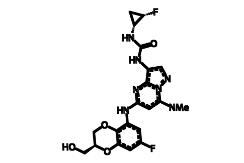 CNc1cc(Nc2cc(F)cc3c2OC[C@H](CO)O3)nc2c(NC(=O)N[C@@H]3C[C@@H]3F)cnn12